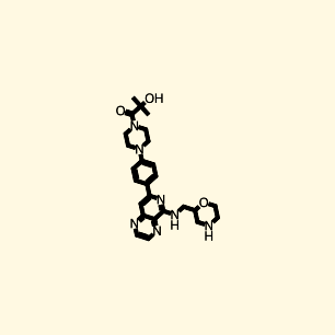 CC(C)(O)C(=O)N1CCN(c2ccc(-c3cc4nccnc4c(NCC4CNCCO4)n3)cc2)CC1